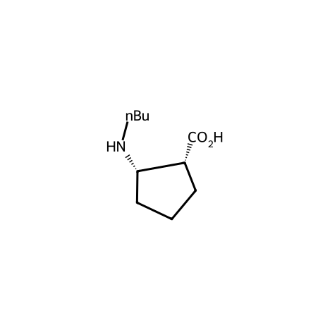 CCCCN[C@H]1CCC[C@H]1C(=O)O